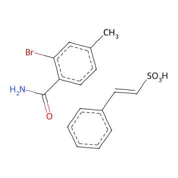 Cc1ccc(C(N)=O)c(Br)c1.O=S(=O)(O)/C=C/c1ccccc1